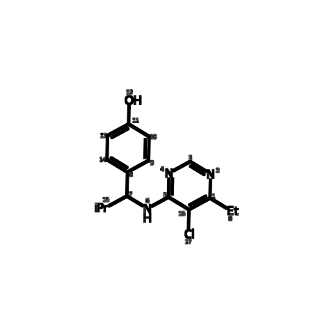 CCc1ncnc(NC(c2ccc(O)cc2)C(C)C)c1Cl